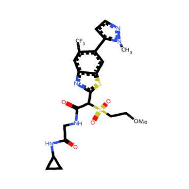 COCCS(=O)(=O)C(C(=O)NCC(=O)NC1CC1)c1nc2cc(C(F)(F)F)c(-c3ccnn3C)cc2s1